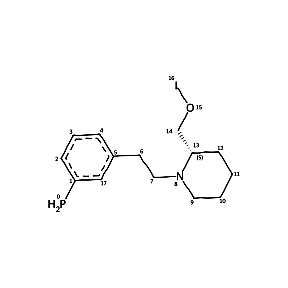 Pc1cccc(CCN2CCCC[C@H]2COI)c1